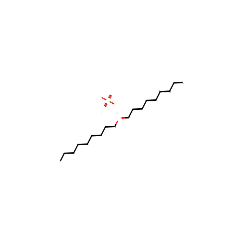 CCCCCCCCCOCCCCCCCCC.N.O=S(=O)(O)O